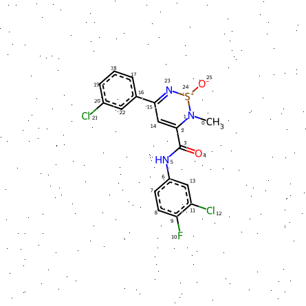 CN1C(C(=O)Nc2ccc(F)c(Cl)c2)=CC(c2cccc(Cl)c2)=N[S+]1[O-]